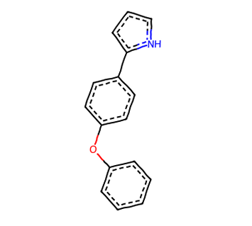 c1ccc(Oc2ccc(-c3ccc[nH]3)cc2)cc1